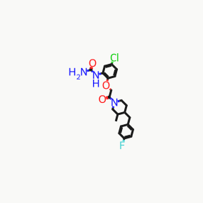 CC1CN(C(=O)COc2ccc(Cl)cc2NC(N)=O)CCC1Cc1ccc(F)cc1